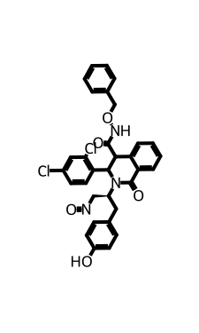 O=NC[C@H](Cc1ccc(O)cc1)N1C(=O)c2ccccc2C(C(=O)NOCc2ccccc2)C1c1ccc(Cl)cc1Cl